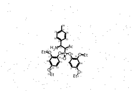 CCOc1ccc(OP(=O)(Oc2ccc(OCC)cc2OCC)C(C(C)=O)C(N)c2ccc(C)cc2)c(OCC)c1